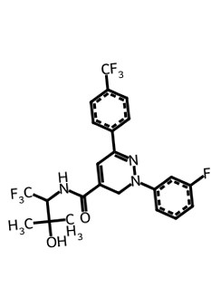 CC(C)(O)C(NC(=O)C1=CC(c2ccc(C(F)(F)F)cc2)=NN(c2cccc(F)c2)C1)C(F)(F)F